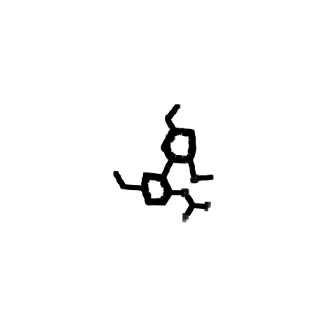 CCc1ccc(OC)c(-c2cc(CC)ccc2OC(F)F)c1